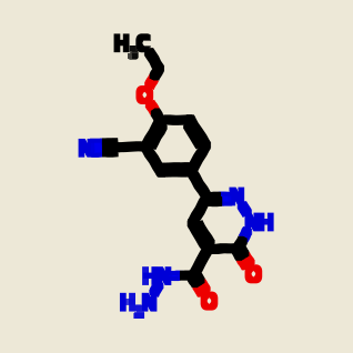 CCOc1ccc(-c2cc(C(=O)NN)c(=O)[nH]n2)cc1C#N